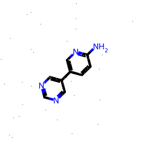 Nc1ccc(-c2cncnc2)cn1